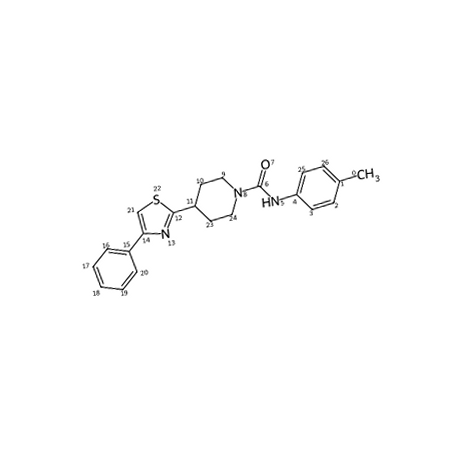 Cc1ccc(NC(=O)N2CCC(c3nc(-c4ccccc4)cs3)CC2)cc1